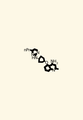 CCCc1ccnc(N[C@H]2CC[C@H](Oc3cccc4nc(C)cc(N)c34)CC2)n1